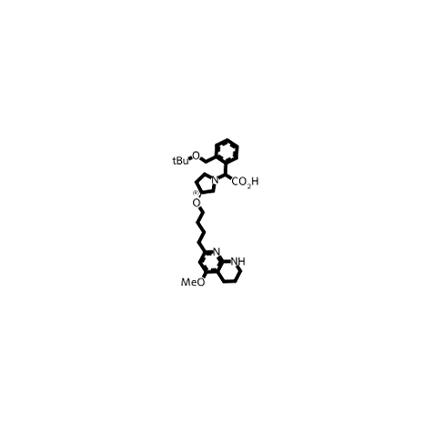 COc1cc(CCCCO[C@@H]2CCN(C(C(=O)O)c3ccccc3COC(C)(C)C)C2)nc2c1CCCN2